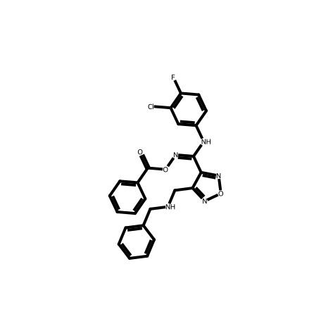 O=C(ON=C(Nc1ccc(F)c(Cl)c1)c1nonc1CNCc1ccccc1)c1ccccc1